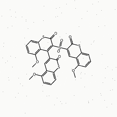 COc1cccc2sc(=O)c(-c3c(S(=O)(=O)c4cc5c(OC)cccc5sc4=O)c(=O)sc4cccc(OC)c34)cc12